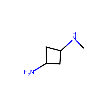 CNC1CC(N)C1